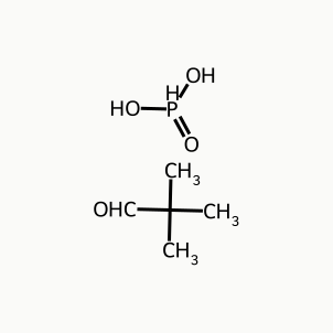 CC(C)(C)C=O.O=[PH](O)O